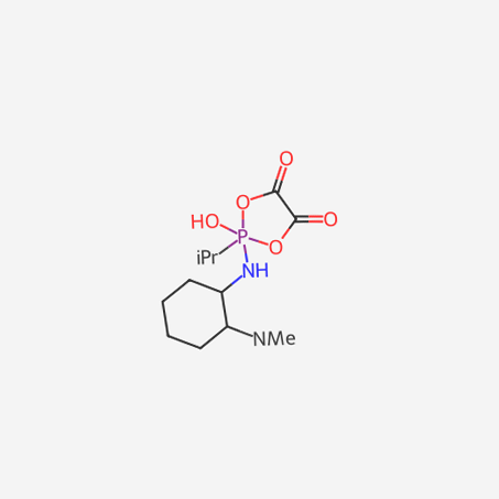 CNC1CCCCC1NP1(O)(C(C)C)OC(=O)C(=O)O1